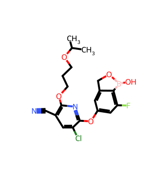 CC(C)OCCCOc1nc(Oc2cc(F)c3c(c2)COB3O)c(Cl)cc1C#N